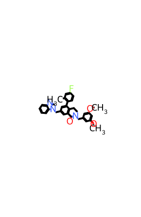 COc1cc(CN2CCc3c(cc(Cn4cnc5ccccc54)cc3-c3ccc(F)cc3C)C2=O)cc(OC)c1